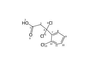 O=C(O)CC(Cl)(Cl)c1ccccc1Cl